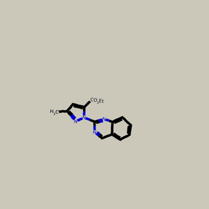 CCOC(=O)c1cc(C)nn1-c1ncc2ccccc2n1